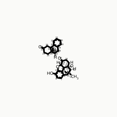 CN1CC[C@]23c4c5ccc(O)c4O[C@H]2C(=O)CC[C@@]3(O)[C@H]1C5.O=C1CC[C@H]2[C@H]3Cc4ccccc4[C@@]2(CCN3)C1